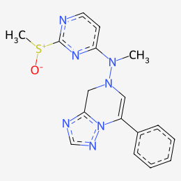 CN(c1ccnc([S+](C)[O-])n1)N1C=C(c2ccccc2)n2ncnc2C1